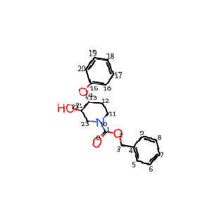 O=C(OCc1ccccc1)N1CC[C@@H](Oc2ccccc2)[C@H](O)C1